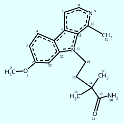 COc1ccc2c3ccnc(C)c3n(CCC(C)(C)C(N)=O)c2c1